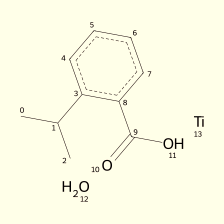 CC(C)c1ccccc1C(=O)O.O.[Ti]